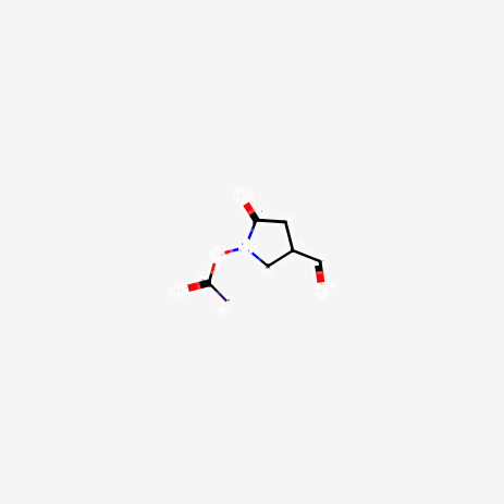 O=CC1CC(=O)N(OC(=O)I)C1